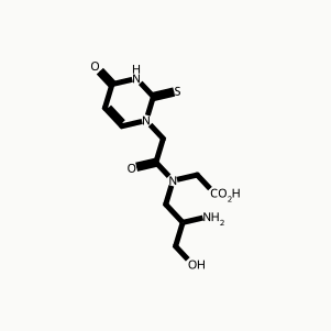 NC(CO)CN(CC(=O)O)C(=O)Cn1ccc(=O)[nH]c1=S